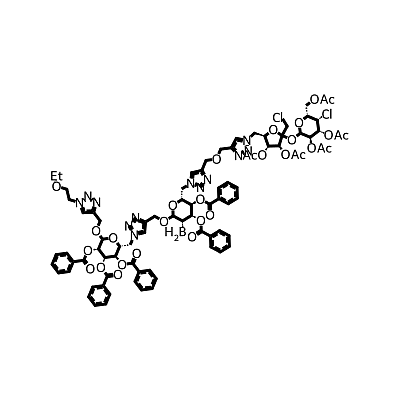 B[C@@H]1C(OCc2cn(C[C@H]3OC(OCc4cn(CCOCC)nn4)[C@@H](OC(=O)c4ccccc4)[C@@H](OC(=O)c4ccccc4)[C@@H]3OC(=O)c3ccccc3)nn2)O[C@H](Cn2cc(COCc3cn(C[C@H]4OC(CCl)(OC5O[C@H](COC(C)=O)[C@H](Cl)[C@H](OC(C)=O)[C@H]5OC(C)=O)[C@@H](OC(C)=O)[C@@H]4OC(C)=O)nn3)nn2)[C@@H](OC(=O)c2ccccc2)[C@@H]1OC(=O)c1ccccc1